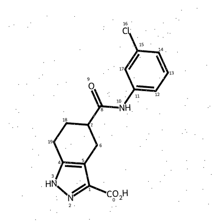 O=C(O)c1n[nH]c2c1CC(C(=O)Nc1cccc(Cl)c1)CC2